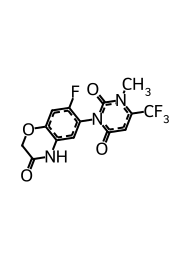 Cn1c(C(F)(F)F)cc(=O)n(-c2cc3c(cc2F)OCC(=O)N3)c1=O